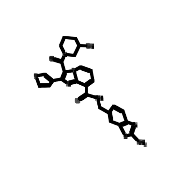 Nc1nc2ccc(CNC(=O)c3cccn4c(C(=O)N5CCCC(O)C5)c(-c5ccsc5)nc34)cc2s1